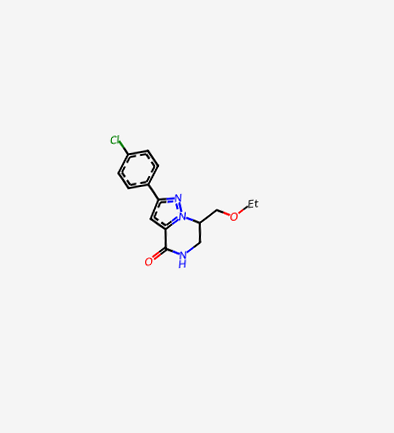 CCOCC1CNC(=O)c2cc(-c3ccc(Cl)cc3)nn21